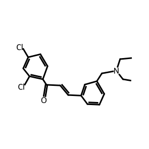 CCN(CC)Cc1cccc(C=CC(=O)c2ccc(Cl)cc2Cl)c1